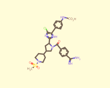 CS(=O)(=O)N1CCC(C2CC(c3nc(Cl)c(-c4ccc(NC(=O)O)cc4)[nH]3)N(C(=O)c3ccc(C(=N)N)cc3)C2)CC1